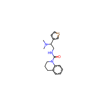 CN(C)C(CNC(=O)N1CCCc2ccccc21)c1ccsc1